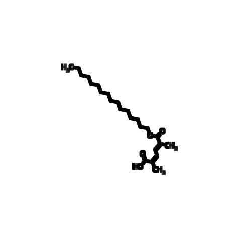 CCCCCCCCCCCCCCCCOC(=O)C(C)=CC=C(C)C(=O)O